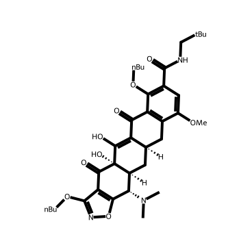 CCCCOc1noc2c1C(=O)[C@@]1(O)C(O)=C3C(=O)c4c(c(OC)cc(C(=O)NCC(C)(C)C)c4OCCCC)C[C@H]3C[C@H]1[C@@H]2N(C)C